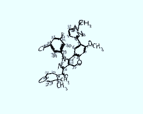 COc1cc2c(cc1-c1ccn(C)n1)-c1c(c(C(=O)N3CCOCC3(C)C)nn1-c1cc(F)cc(Cl)c1)CO2